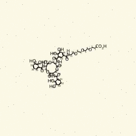 O=C(O)CCOCCOCCOCCNC(=O)c1cc(O)c(O)c(C(=O)N[C@H]2COC(=O)[C@@H](NC(=O)c3cccc(O)c3O)COC(=O)[C@@H](NC(=O)c3cccc(O)c3O)COC2=O)c1